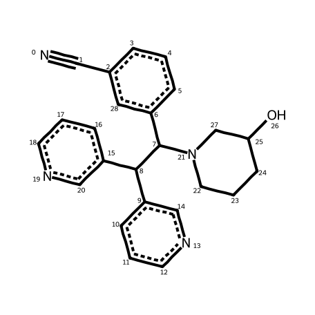 N#Cc1cccc(C(C(c2cccnc2)c2cccnc2)N2CCCC(O)C2)c1